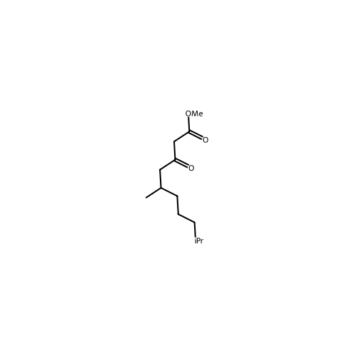 COC(=O)CC(=O)CC(C)CCCC(C)C